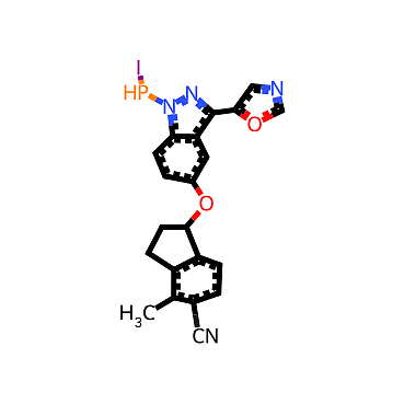 Cc1c(C#N)ccc2c1CCC2Oc1ccc2c(c1)c(-c1cnco1)nn2PI